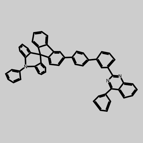 c1ccc(-c2nc(-c3cccc(-c4ccc(-c5ccc6c(c5)-c5ccccc5C65c6ccccc6N(c6ccccc6)c6ccccc65)cc4)c3)nc3ccccc23)cc1